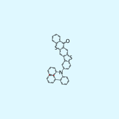 O=c1c2ccccc2sc2cc3c(cc12)sc1ccc(N(c2ccccc2)c2ccccc2-c2ccccc2)cc13